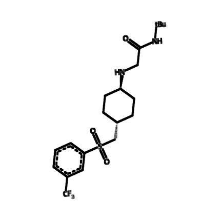 CC(C)(C)NC(=O)CN[C@H]1CC[C@H](CS(=O)(=O)c2cccc(C(F)(F)F)c2)CC1